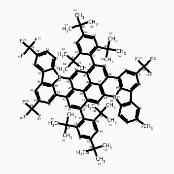 Cc1ccc2c(c1)-c1cc(C(F)(F)F)cc3c1B2c1cc2c(-c4c(C(C)(C)C)cc(C(C)(C)C)cc4C(C)(C)C)cc4c5c(cc6c(-c7c(C(C)(C)C)cc(C(C)(C)C)cc7C(C)(C)C)cc-3c1c6c25)B1c2ccc(C(F)(F)F)cc2-c2cc(C(F)(F)F)cc-4c21